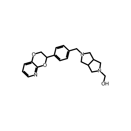 OCN1CC2CN(Cc3ccc(C4COc5cccnc5O4)cc3)CC2C1